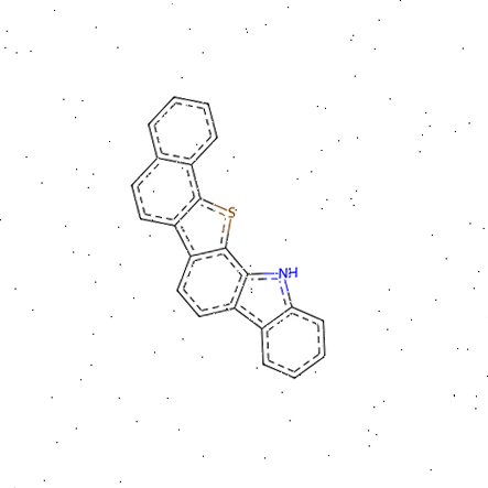 c1ccc2c(c1)ccc1c3ccc4c5ccccc5[nH]c4c3sc21